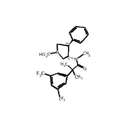 CN(C(=O)C(C)(C)c1cc(C(F)(F)F)cc(C(F)(F)F)c1)[C@@H]1CN(C(=O)O)C[C@H]1c1ccccc1